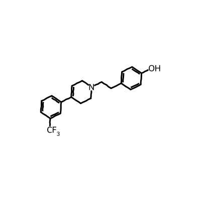 Oc1ccc(CCN2CC=C(c3cccc(C(F)(F)F)c3)CC2)cc1